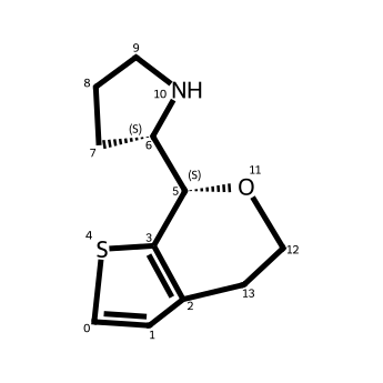 c1cc2c(s1)[C@H]([C@@H]1CCCN1)OCC2